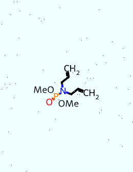 C=CCN(CC=C)P(=O)(OC)OC